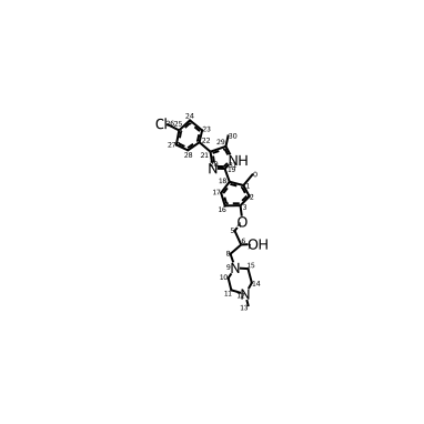 Cc1cc(OCC(O)CN2CCN(C)CC2)ccc1-c1nc(-c2ccc(Cl)cc2)c(C)[nH]1